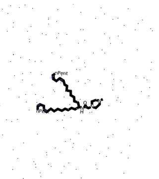 CCCCC/C=C\C/C=C\CCCCCCCCC(CCCCCCCC/C=C\C/C=C\CCCCC)NC(=O)CN1CCN(C)CC1